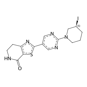 O=C1NCCc2nc(-c3cnc(N4CCC[C@H](I)C4)nc3)sc21